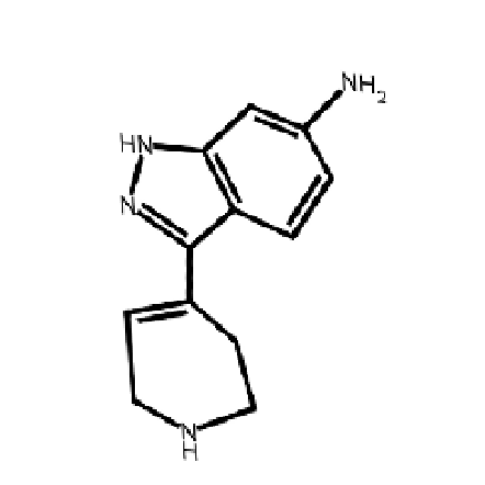 Nc1ccc2c(C3=CCNCC3)n[nH]c2c1